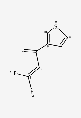 C=C(C=C(F)F)c1c[c]sc1